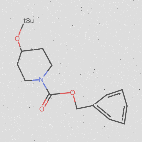 CC(C)(C)OC1CCN(C(=O)OCc2ccccc2)CC1